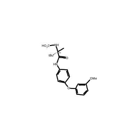 COc1cccc(Oc2ccc(NC(=O)[C@](C)(NC(=O)O)C(C)(C)C)cc2)c1